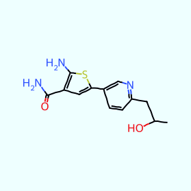 CC(O)Cc1ccc(-c2cc(C(N)=O)c(N)s2)cn1